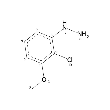 COc1cccc(NN)c1Cl